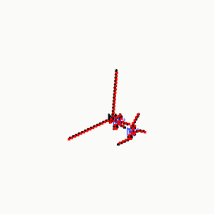 C=C[CH2][Pd][CH2]C=C.CCCCC#CC1=C(c2ccc(CCCCCCCC)cc2)[N+](=[N-])C(c2ccc(CCCCCCCC)cc2)=C1C.CCCCCC1=C(c2ccc(C)cc2)[N+](=[N-])C(c2ccc(C)cc2)=C1CCCC.CCCCCCCCCCCCCCCCCCCCCCCCCCCC[CH2][Ni][CH2]CCCCCCCCCCCCCCCCCCCCCCCCCCCC